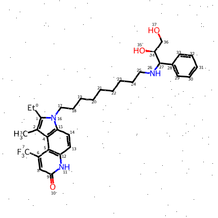 CCc1c(C)c2c3c(C(F)(F)F)cc(=O)[nH]c3ccc2n1CCCCCCCCCNC(c1ccccc1)[C@@H](O)CO